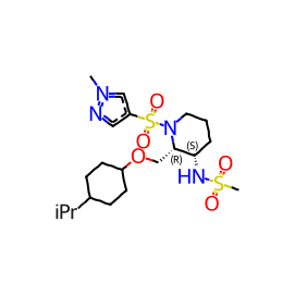 CC(C)C1CCC(OC[C@H]2[C@@H](NS(C)(=O)=O)CCCN2S(=O)(=O)c2cnn(C)c2)CC1